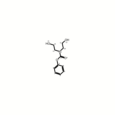 O=C(Oc1[c]cccc1)N(CCO)CCO